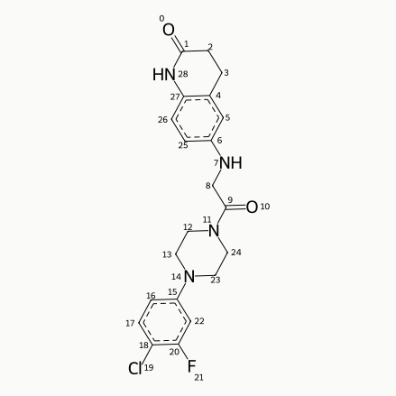 O=C1CCc2cc(NCC(=O)N3CCN(c4ccc(Cl)c(F)c4)CC3)ccc2N1